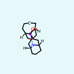 ON=C1C[C@H]2CCC[C@@H](C1)N2[C@@H]1C[C@@H]2CCCC[C@@H](C2)C1